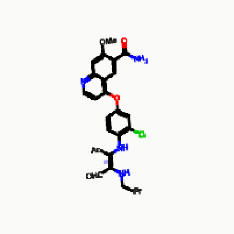 COc1cc2nccc(Oc3ccc(N/C(C(C)=O)=C(/C=O)NCC(C)C)c(Cl)c3)c2cc1C(N)=O